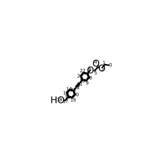 CCOC(=O)COc1ccc(C#Cc2ccc(CO)cc2)cc1